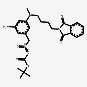 CN(CCCCN1C(=O)c2ccccc2C1=O)c1cc(N)cc(C/[SH](=O)=N/C(=O)OC(C)(C)C)c1